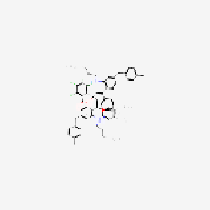 COCCCNc1cc(Cc2ccc(C)cc2)ccc1C(=CC1(C=C(c2ccc(OC)c(OC)c2)c2ccc(Cc3ccc(C)cc3)cc2NCCCOC)OC(=O)c2c(Cl)c(Cl)c(Cl)c(Cl)c21)c1ccc(OC)c(OC)c1